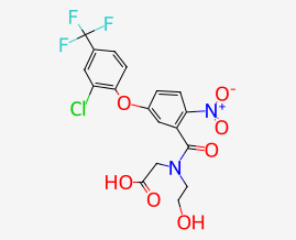 O=C(O)CN(CCO)C(=O)c1cc(Oc2ccc(C(F)(F)F)cc2Cl)ccc1[N+](=O)[O-]